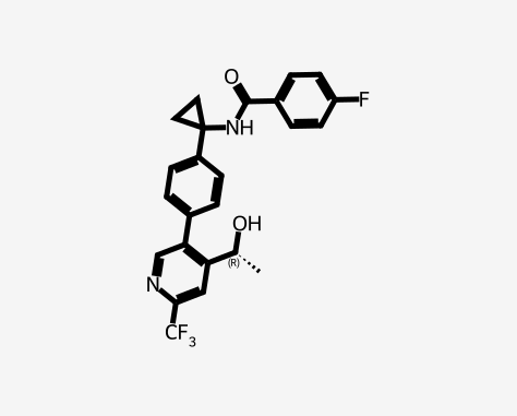 C[C@@H](O)c1cc(C(F)(F)F)ncc1-c1ccc(C2(NC(=O)c3ccc(F)cc3)CC2)cc1